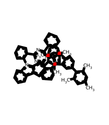 Cc1cc(C)c(-c2ccc3c4ccccc4n(-c4ccccc4-c4nc(-c5ccccc5)nc(-c5ccccc5-n5c6ccccc6c6ccc(-c7c(C)cc(C)cc7C)cc65)n4)c3c2)c(C)c1